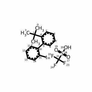 CC(C)(C)c1ccccc1-c1ccccc1I.O=S(=O)(O)C(F)(F)F